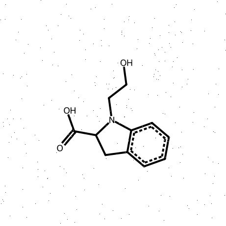 O=C(O)C1Cc2ccccc2N1CCO